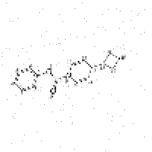 O=C(Oc1ccccc1)N1C=CC(C2CCC2)C=C1